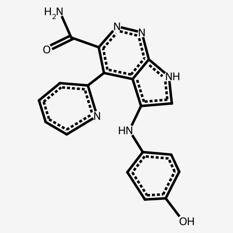 NC(=O)c1nnc2[nH]cc(Nc3ccc(O)cc3)c2c1-c1ccccn1